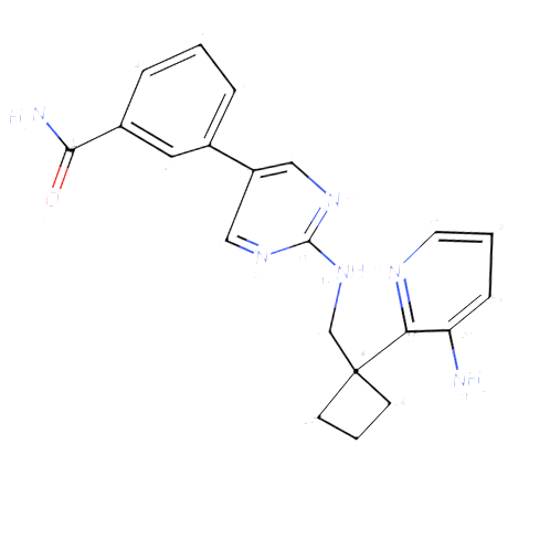 NC(=O)c1cccc(-c2cnc(NCC3(c4ncccc4N)CCC3)nc2)c1